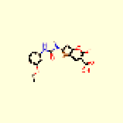 CCOc1cccc(NC(=O)N(C)c2cc3oc(=O)c(C(=O)O)cc3s2)c1